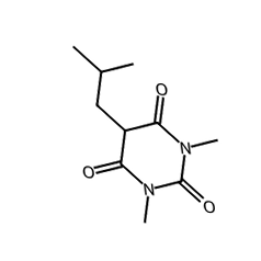 CC(C)CC1C(=O)N(C)C(=O)N(C)C1=O